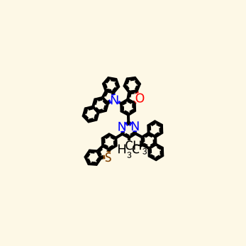 Cc1c(-c2ccc3c(c2)sc2ccccc23)nc(-c2cc(-n3c4ccccc4c4cc5ccccc5cc43)c3c(c2)oc2ccccc23)nc1-c1c(C)c2ccccc2c2ccccc12